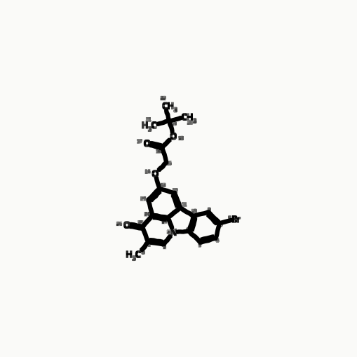 Cc1cn2c3ccc(Br)cc3c3cc(OCC(=O)OC(C)(C)C)cc(c1=O)c32